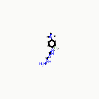 C[N+](C)(C)[C@H]1CC[C@H](NC=NCNN)CC1.[Cl-]